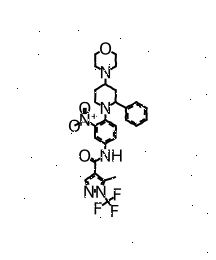 Cc1c(C(=O)Nc2ccc(N3CCC(N4CCOCC4)CC3c3ccccc3)c([N+](=O)[O-])c2)cnn1C(F)(F)F